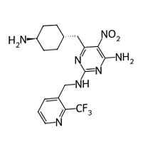 Nc1nc(NCc2cccnc2C(F)(F)F)nc(C[C@H]2CC[C@H](N)CC2)c1[N+](=O)[O-]